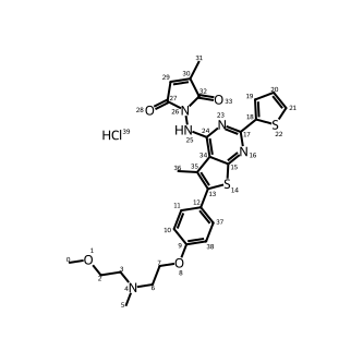 COCCN(C)CCOc1ccc(-c2sc3nc(-c4cccs4)nc(NN4C(=O)C=C(C)C4=O)c3c2C)cc1.Cl